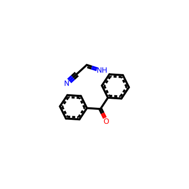 N#CC=N.O=C(c1ccccc1)c1ccccc1